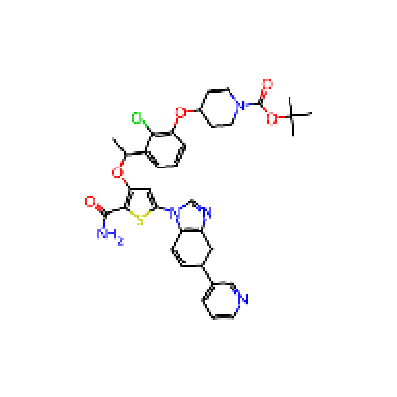 CC(Oc1cc(-n2cnc3c2C=CC(c2cccnc2)C3)sc1C(N)=O)c1cccc(OC2CCN(C(=O)OC(C)(C)C)CC2)c1Cl